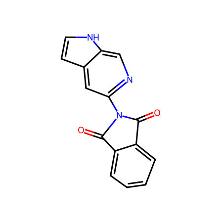 O=C1c2ccccc2C(=O)N1c1cc2cc[nH]c2cn1